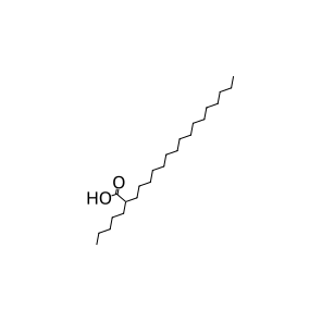 CCCCCCCCCCCCCCCCC(CCCCC)C(=O)O